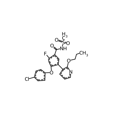 CCCOc1ncccc1-c1cc(C(=O)NS(C)(=O)=O)c(F)cc1Oc1ccc(Cl)cc1